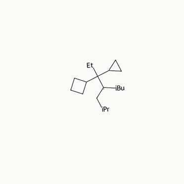 CCC(C)[C](CC(C)C)C(CC)(C1CCC1)C1CC1